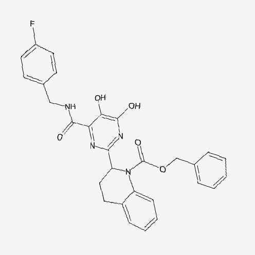 O=C(NCc1ccc(F)cc1)c1nc(C2CCc3ccccc3N2C(=O)OCc2ccccc2)nc(O)c1O